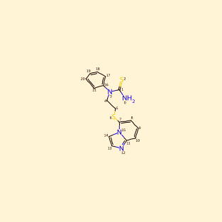 NC(=S)N(CCSc1cccc2nccn12)c1ccccc1